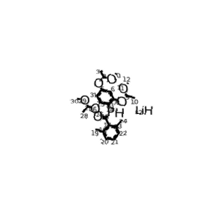 COC(C)Oc1cc(OC(C)OC)c(PC(=O)c2c(C)cccc2C)c(OC(C)OC)c1.[LiH]